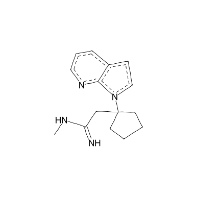 CNC(=N)CC1(n2ccc3cccnc32)CCCC1